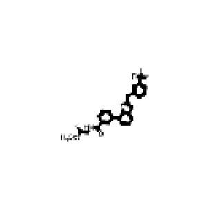 COC(=O)CNC(=O)c1cccc(-c2cccc3cc(Cc4cccc(C(F)(F)F)c4)sc23)c1